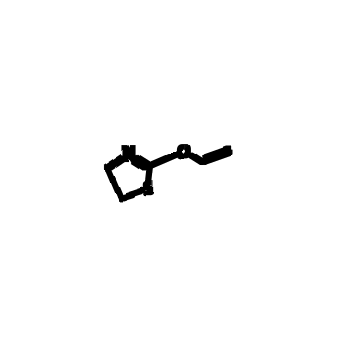 C=COC1=NCCS1